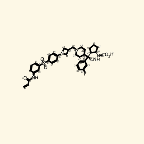 C=CC(=O)Nc1cccc(S(=O)(=O)c2ccc(N3CC(CN4CCC(C(C#N)(c5cccc(F)c5)[C@H]5CCC[C@@H]5NC(=O)O)CC4)C3)cc2)c1